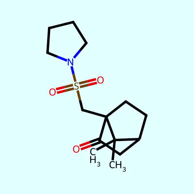 CC1(C)C2CCC1(CS(=O)(=O)N1CCCC1)C(=O)C2